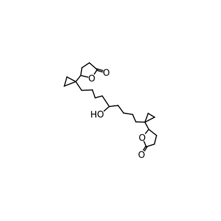 O=C1CCC(C2(CCCCC(O)CCCCC3(C4CCC(=O)O4)CC3)CC2)O1